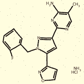 Cc1cnc(-c2cc(-c3ccon3)n(Cc3ccccc3F)n2)nc1N.Cl.N